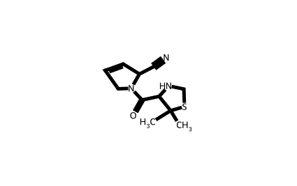 CC1(C)SCNC1C(=O)N1CC=CC1C#N